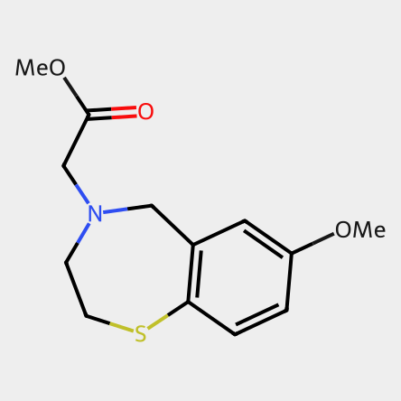 COC(=O)CN1CCSc2ccc(OC)cc2C1